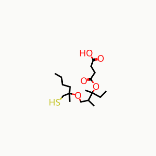 CCCCC(C)(CS)OCC(C)C(C)(CC)OC(=O)CCC(=O)O